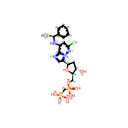 C[C@H](Nc1cc(Cl)nn2c([C@H]3C[C@H](O)[C@@H](COP(=O)(O)CP(=O)(O)O)O3)cnc12)c1ccccc1